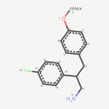 CCCCCCOc1ccc(CC(CN)c2ccc(F)cc2)cc1